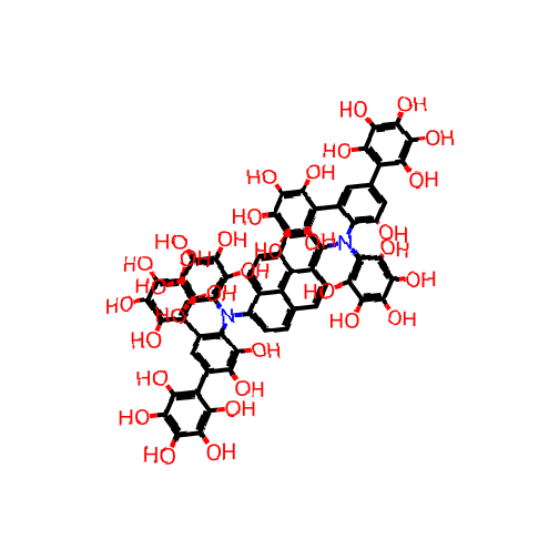 Oc1cc(-c2c(O)c(O)c(O)c(O)c2O)cc(-c2c(O)c(O)c(O)c(O)c2O)c1N(c1c(O)c(O)c(O)c(O)c1O)c1ccc2ccc3c(N(c4c(-c5c(O)c(O)c(O)c(O)c5O)cc(-c5c(O)c(O)c(O)c(O)c5O)c(O)c4O)c4c(O)c(O)c(O)c(O)c4O)ccc4ccc1c2c43